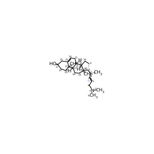 C[C@H](/C=C/CN(C)C)[C@H]1CC[C@H]2[C@@H]3CC=C4CC(O)CC[C@]4(C)[C@H]3CC[C@]12C